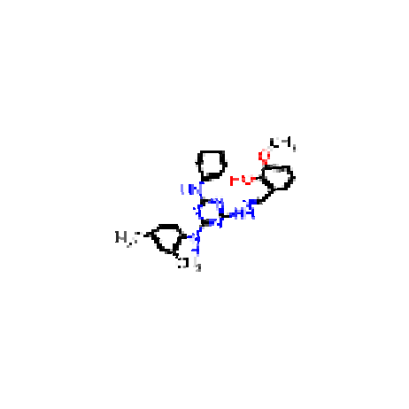 COc1cccc(/C=N/Nc2nc(Nc3ccccc3)nc(Nc3ccc(C)cc3C)n2)c1O